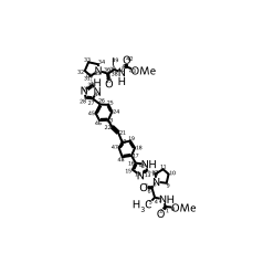 COC(=O)NC(C)C(=O)N1CCC[C@H]1c1ncc(-c2ccc(C#Cc3ccc(-c4cnc([C@@H]5CCCN5C(=O)[C@H](I)NC(=O)OC)[nH]4)cc3)cc2)[nH]1